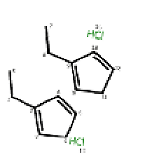 CCC1=CCC=C1.CCC1=CCC=C1.Cl.Cl